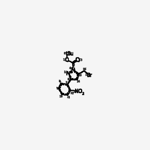 CC(C)(C)OC(=O)n1nc(-c2ccccc2[N+](=O)[O-])cc1CBr